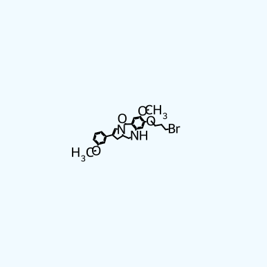 COc1cccc(C2=CN3C(=O)c4cc(OC)c(OCCCBr)cc4NCC3C2)c1